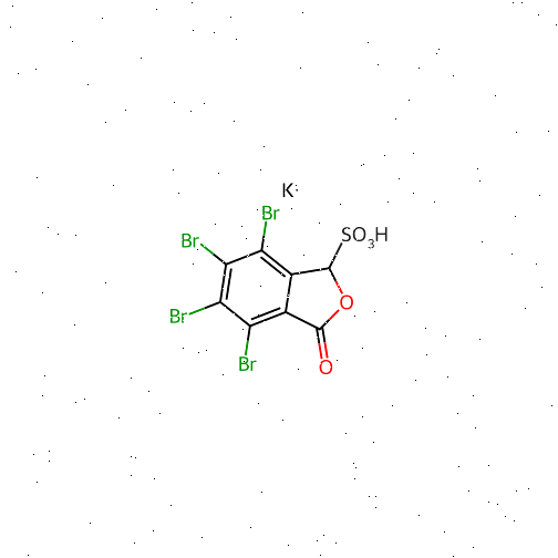 O=C1OC(S(=O)(=O)O)c2c(Br)c(Br)c(Br)c(Br)c21.[K]